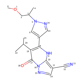 COCC(C)n1cc(-c2[nH]c3c(C#N)cnn3c(=O)c2C(C)C)cn1